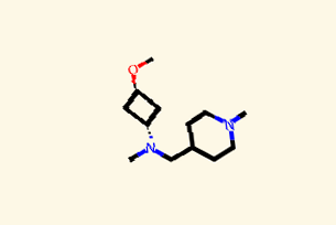 CO[C@H]1C[C@H](N(C)CC2CCN(C)CC2)C1